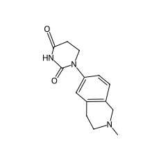 CN1CCc2cc(N3CCC(=O)NC3=O)ccc2C1